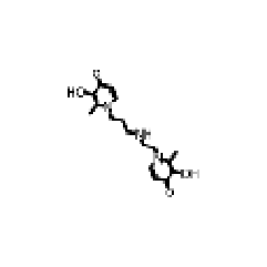 Cc1c(O)c(=O)ccn1CCCNCCn1ccc(=O)c(O)c1C